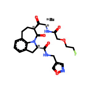 CC[C@H](C)[C@H](NC(=O)COCCF)C(=O)[C@@H]1CCc2cccc3c2N(C1=O)[C@H](C(=O)NCc1cnoc1)C3